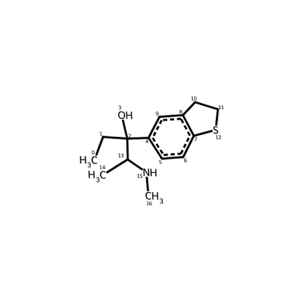 CCC(O)(c1ccc2c(c1)CCS2)C(C)NC